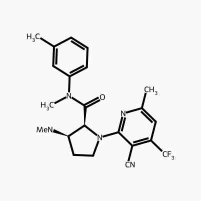 CN[C@@H]1CCN(c2nc(C)cc(C(F)(F)F)c2C#N)[C@@H]1C(=O)N(C)c1cccc(C)c1